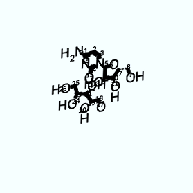 Nc1ccn([C@@H]2O[C@H](CO)[C@@H](O)[C@H]2O)c(=O)n1.O=CC(O)C(O)C(O)CO